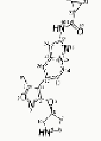 Cc1onc(O[C@H]2CCNC2)c1-c1ccn2nc(NC(=O)C3CC3)cc2c1